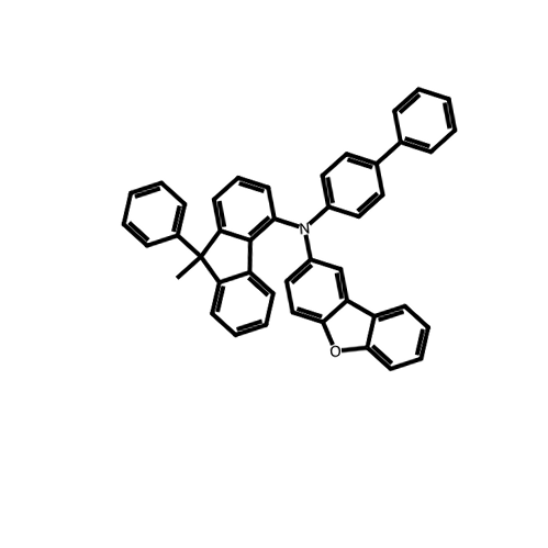 CC1(c2ccccc2)c2ccccc2-c2c(N(c3ccc(-c4ccccc4)cc3)c3ccc4oc5ccccc5c4c3)cccc21